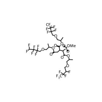 COS(=O)(=O)C(C(=O)OC(C)COCC(F)C(F)(F)C(F)(F)F)C(CC(=O)OC(C)COCC(F)(F)C(F)(F)C(F)F)C(=O)OC(C)COCC(F)(F)C(F)(F)C(F)(F)F